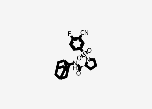 N#Cc1cc(S(=O)(=O)N2CCC[C@@H]2C(=O)NC2C3CC4CC(C3)CC2C4)ccc1F